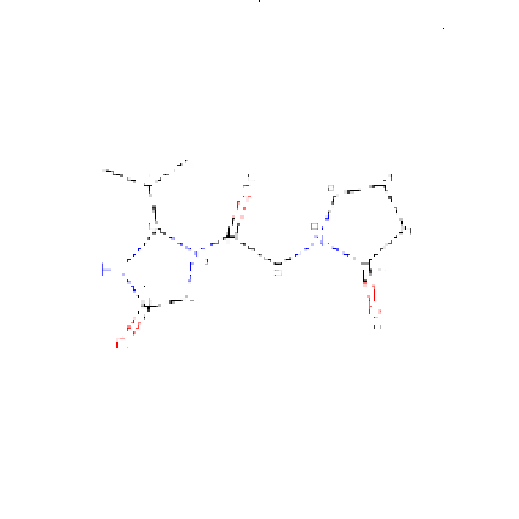 CC(C)C1NC(=O)CN1C(=O)CN1CCCC1=O